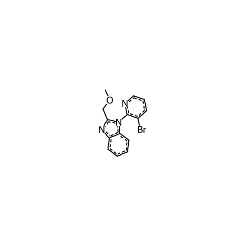 COCc1nc2ccccc2n1-c1ncccc1Br